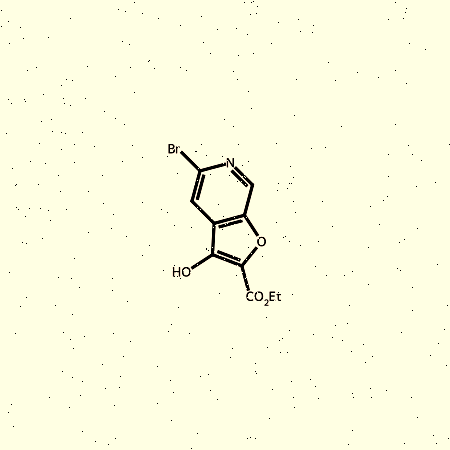 CCOC(=O)c1oc2cnc(Br)cc2c1O